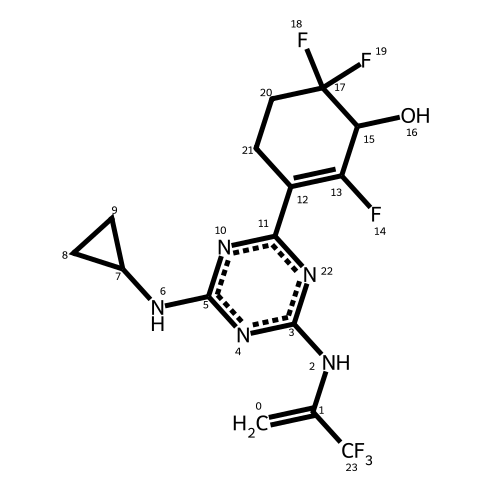 C=C(Nc1nc(NC2CC2)nc(C2=C(F)C(O)C(F)(F)CC2)n1)C(F)(F)F